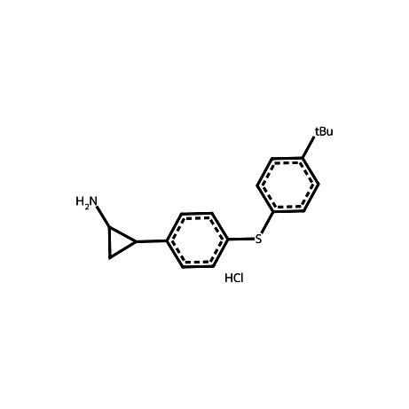 CC(C)(C)c1ccc(Sc2ccc(C3CC3N)cc2)cc1.Cl